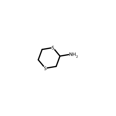 NC1CSCCS1